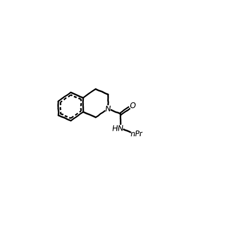 CCCNC(=O)N1CCc2ccccc2C1